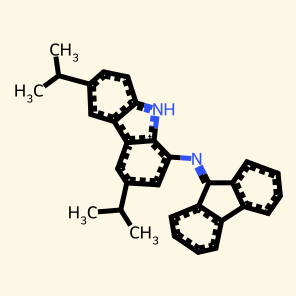 CC(C)c1ccc2[nH]c3c(N=C4c5ccccc5-c5ccccc54)cc(C(C)C)cc3c2c1